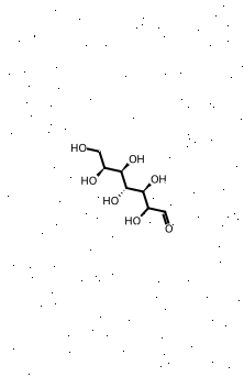 O=CC(O)[C@H](O)[C@H](O)[C@H](O)[C@@H](O)CO